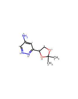 CC1(C)OCC(c2cc(N)cnn2)O1